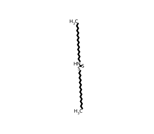 CCCCCCCCCCCCCCCCCCNC(=S)SCCCCCCCCCCCCCCCCCC